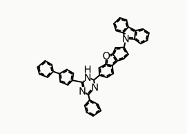 c1ccc(C2=NC(c3ccc4c(c3)oc3cc(-n5c6ccccc6c6ccccc65)ccc34)NC(c3ccc(-c4ccccc4)cc3)=N2)cc1